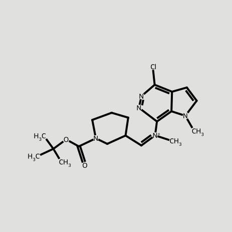 Cn1ccc2c(Cl)nnc(/[N+](C)=C\C3CCCN(C(=O)OC(C)(C)C)C3)c21